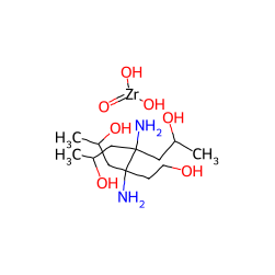 CC(O)CC(N)(CCO)C(N)(CC(C)O)CC(C)O.[O]=[Zr]([OH])[OH]